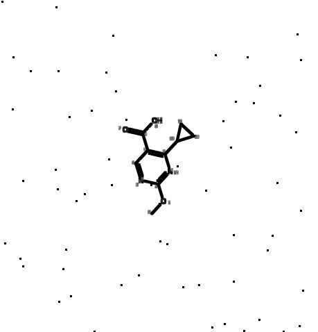 COc1ncc(C(=O)O)c(C2CC2)n1